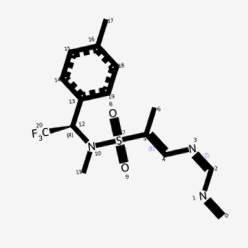 C=N/C=N\C=C(/C)S(=O)(=O)N(C)[C@H](c1ccc(C)cc1)C(F)(F)F